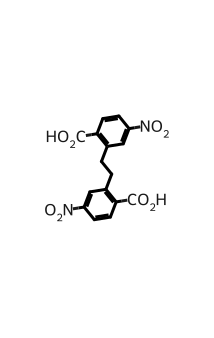 O=C(O)c1ccc([N+](=O)[O-])cc1CCc1cc([N+](=O)[O-])ccc1C(=O)O